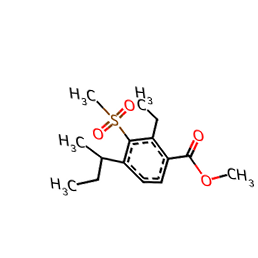 CCc1c(C(=O)OC)ccc(C(C)CC)c1S(C)(=O)=O